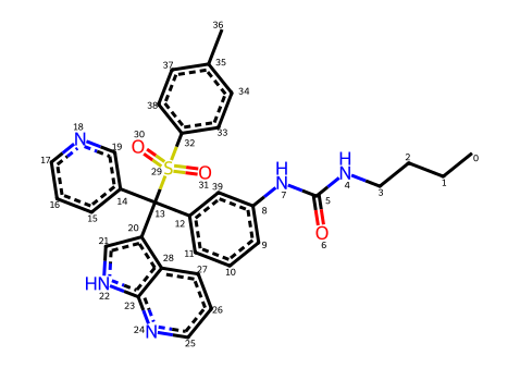 CCCCNC(=O)Nc1cccc(C(c2cccnc2)(c2c[nH]c3ncccc23)S(=O)(=O)c2ccc(C)cc2)c1